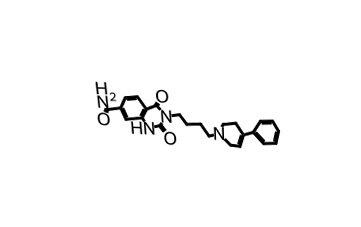 NC(=O)c1ccc2c(=O)n(CCCCN3CC=C(c4ccccc4)CC3)c(=O)[nH]c2c1